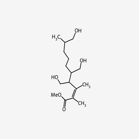 COC(=O)C(C)=C(C)C(CO)C(CO)CCCC(C)CO